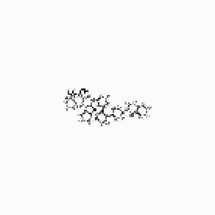 CC1(C)c2ccccc2-c2cc(C3(c4ccccc4)c4ccccc4-c4c(-c5ccc(-c6ccc7ccccc7c6)cc5Cl)cccc43)ccc21